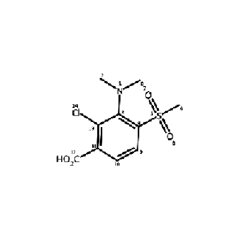 CN(C)c1c(S(C)(=O)=O)ccc(C(=O)O)c1Cl